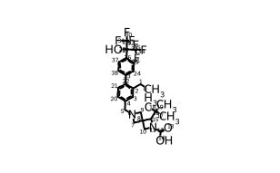 CCc1cc(CN2CC3(C2)CN(C(=O)O)C3C(C)(C)C)ccc1-c1ccc(C(O)(C(F)(F)F)C(F)(F)F)cc1